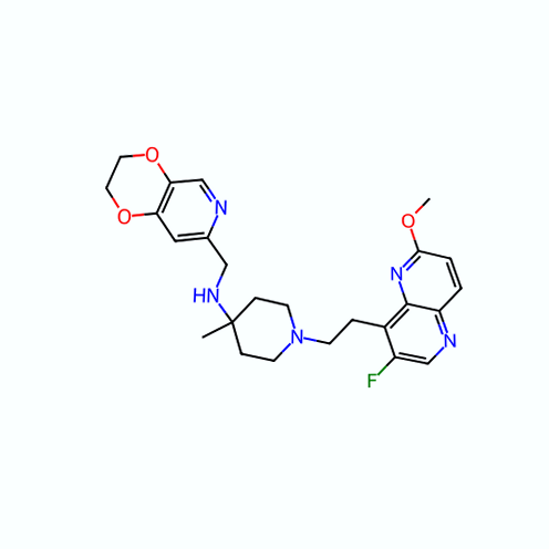 COc1ccc2ncc(F)c(CCN3CCC(C)(NCc4cc5c(cn4)OCCO5)CC3)c2n1